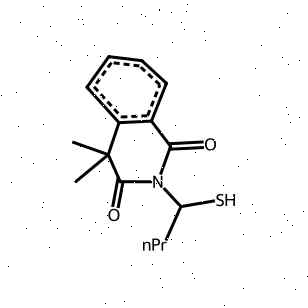 CCCC(S)N1C(=O)c2ccccc2C(C)(C)C1=O